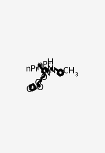 CCCN(CCC)c1cc(N/N=C/c2cccc(C)c2)nc(OCCOC(=O)N2CCOCC2)c1